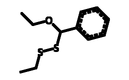 CCOC(SSCC)c1ccccc1